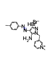 Br.Cc1ccc(/N=N/c2cnn(Cc3ccc[n+](C)c3)c2N)cc1.[Br-]